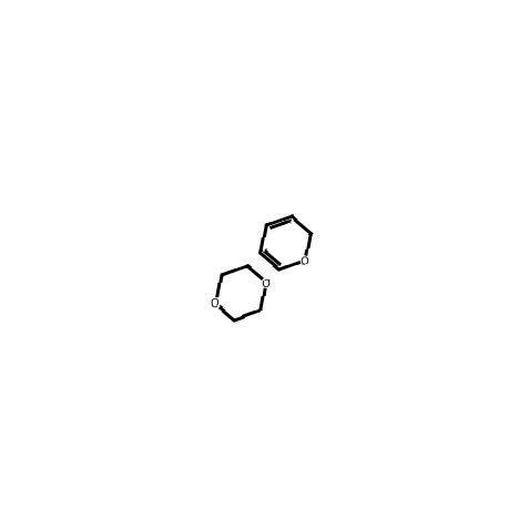 C1=CCOC=C1.C1COCCO1